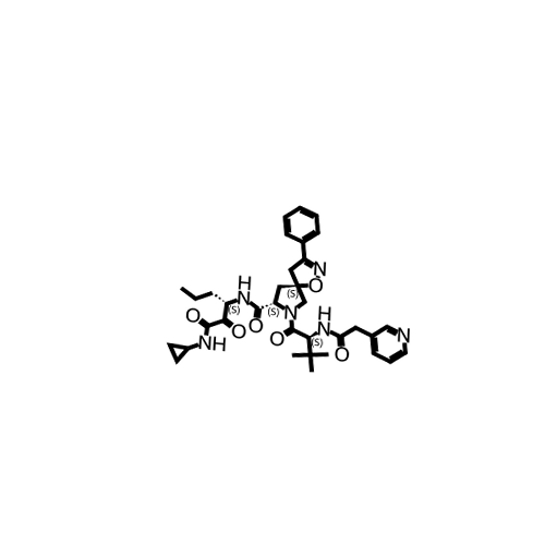 CCC[C@H](NC(=O)[C@@H]1C[C@]2(CC(c3ccccc3)=NO2)CN1C(=O)[C@@H](NC(=O)Cc1cccnc1)C(C)(C)C)C(=O)C(=O)NC1CC1